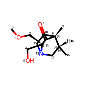 COC[C@@]1(CO)C(=O)[C@]2(C)CCN1C[C@H]2C